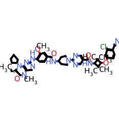 CC[C@@H]1C(=O)N(C)c2cnc(Nc3ccc(C(=O)NC4CCN(c5ncc(C(=O)NC6C(C)(C)C(Oc7ccc(C#N)c(Cl)c7)C6(C)C)cn5)CC4)cc3OC)nc2N1C1CCCC1